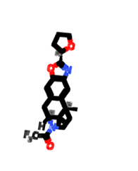 CC1(C)[C@H]2Cc3cc4oc([C@@H]5CCCO5)nc4cc3[C@]1(C)CCN2C(=O)C(F)(F)F